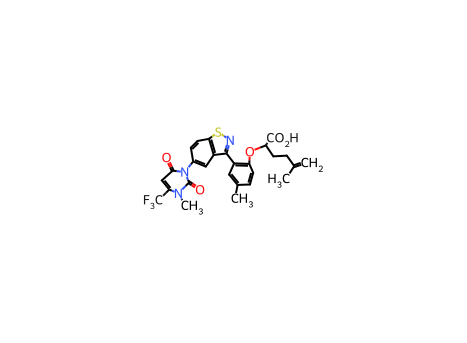 C=C(C)CCC(Oc1ccc(C)cc1-c1nsc2ccc(-n3c(=O)cc(C(F)(F)F)n(C)c3=O)cc12)C(=O)O